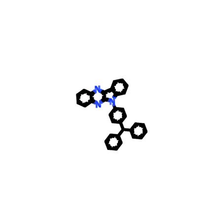 c1ccc(C(c2ccccc2)c2ccc(-n3c4ccccc4c4nc5ccccc5nc43)cc2)cc1